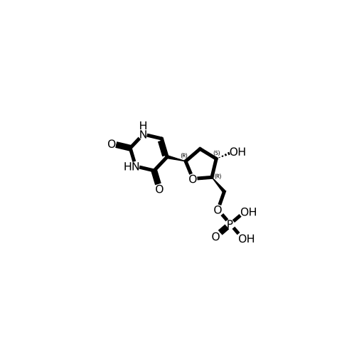 O=c1[nH]cc([C@H]2C[C@H](O)[C@@H](COP(=O)(O)O)O2)c(=O)[nH]1